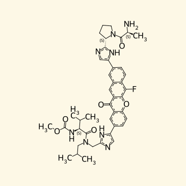 COC(=O)N[C@H](C(=O)N(Cc1ncc(-c2ccc3oc4c(F)c5ccc(-c6cnc([C@@H]7CCCN7C(=O)[C@H](C)N)[nH]6)cc5cc4c(=O)c3c2)[nH]1)CC(C)C)C(C)C